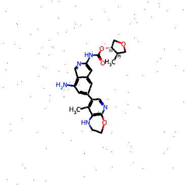 Cc1c(-c2cc(N)c3cnc(NC(=O)O[C@@H]4COC[C@H]4C)cc3c2)cnc2c1NCCO2